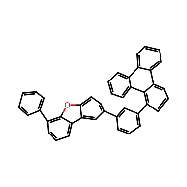 c1ccc(-c2cccc3c2oc2ccc(-c4cccc(-c5cccc6c7ccccc7c7ccccc7c56)c4)cc23)cc1